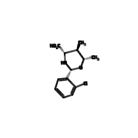 C[C@H]1[C@H](C)O[C@H](c2ccccc2Cl)N[C@@H]1C(=O)O